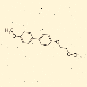 COCCOc1ccc(-c2ccc(OC)cc2)cc1